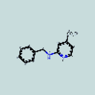 CCOC(=O)c1ccnc(NCc2ccccc2)c1